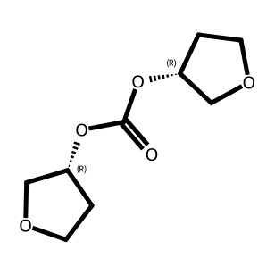 O=C(O[C@@H]1CCOC1)O[C@@H]1CCOC1